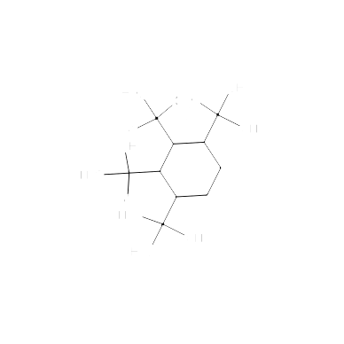 CC(C)(C)C1[CH]CC(C(C)(C)C)C(C(C)(C)C)C1C(C)(C)C